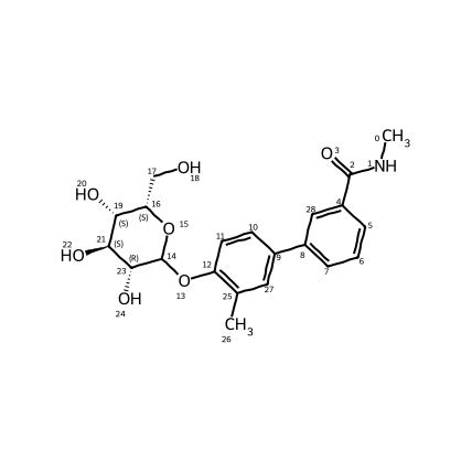 CNC(=O)c1cccc(-c2ccc(OC3O[C@@H](CO)[C@@H](O)[C@H](O)[C@H]3O)c(C)c2)c1